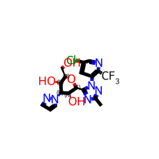 Cc1nc([C@@H]2O[C@H](CO)[C@H](O)[C@H](n3cccn3)[C@H]2O)n(-c2cc(Cl)cnc2C(F)(F)F)n1